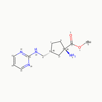 CC(C)(C)OC(=O)[C@@]1(N)CC[C@@H](CNc2ncccn2)C1